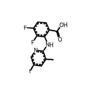 Cc1cc(I)cnc1Nc1c(C(=O)O)ccc(F)c1F